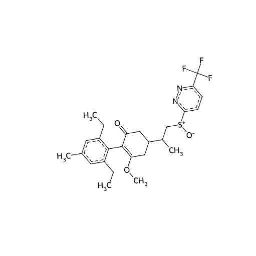 CCc1cc(C)cc(CC)c1C1=C(OC)CC(C(C)C[S+]([O-])c2ccc(C(F)(F)F)nn2)CC1=O